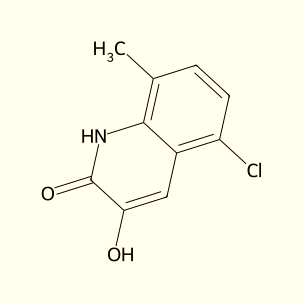 Cc1ccc(Cl)c2cc(O)c(=O)[nH]c12